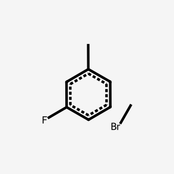 CBr.Cc1cccc(F)c1